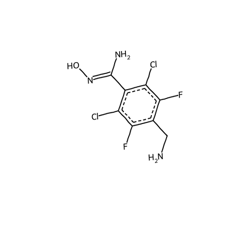 NCc1c(F)c(Cl)c(C(N)=NO)c(Cl)c1F